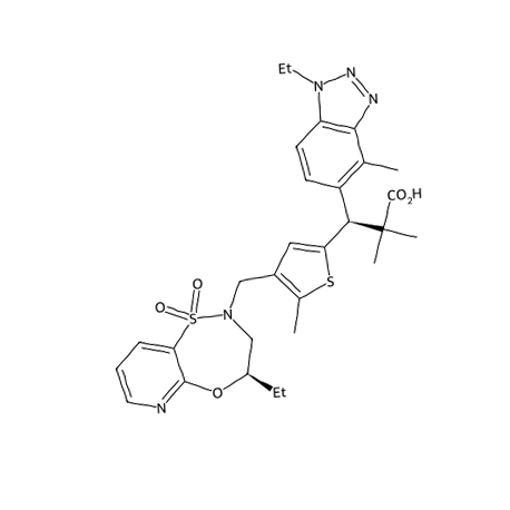 CC[C@@H]1CN(Cc2cc([C@@H](c3ccc4c(nnn4CC)c3C)C(C)(C)C(=O)O)sc2C)S(=O)(=O)c2cccnc2O1